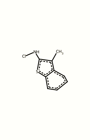 Cc1c(NCl)sc2ccccc12